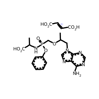 CC(Cn1cnc2c(N)ncnc21)OCP(=O)(NC(C)C(=O)O)Oc1ccccc1.O=C(O)/C=C/C(=O)O